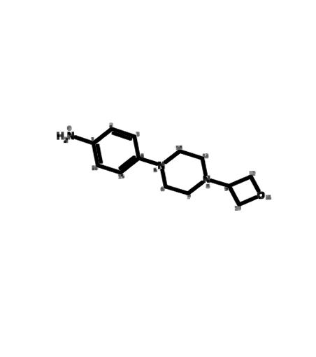 Nc1ccc(N2CCN(C3COC3)CC2)cc1